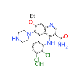 CCOc1cc2ncc(C(N)=O)c(Nc3cccc(Cl)c3Cl)c2cc1N1CCNCC1.Cl